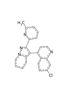 Cc1cccc(-c2nn3ccccc3c2-c2ccnc3cc(Cl)ccc23)n1